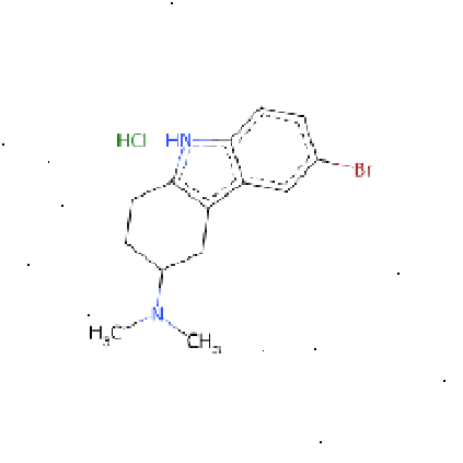 CN(C)C1CCc2[nH]c3ccc(Br)cc3c2C1.Cl